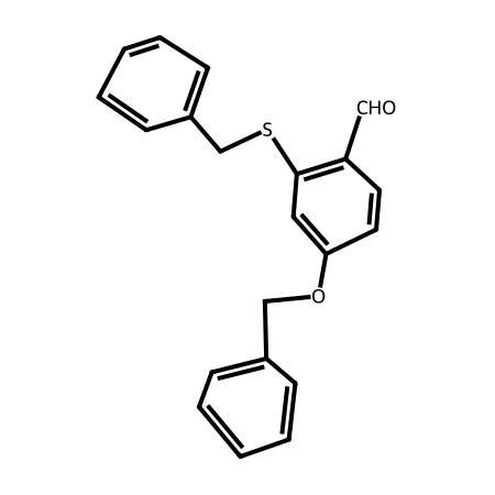 O=Cc1ccc(OCc2ccccc2)cc1SCc1ccccc1